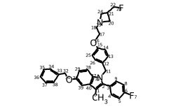 Cc1c(-c2ccc(F)cc2)n(Cc2ccc(OCCN3CC(CF)C3)cc2)c2ccc(OCc3ccccc3)cc12